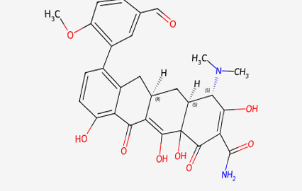 COc1ccc(C=O)cc1-c1ccc(O)c2c1C[C@H]1C[C@H]3[C@H](N(C)C)C(O)=C(C(N)=O)C(=O)C3(O)C(O)=C1C2=O